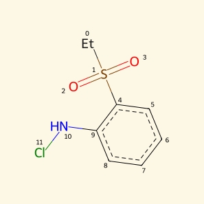 CCS(=O)(=O)c1ccccc1NCl